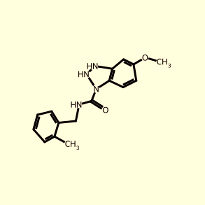 COc1ccc2c(c1)NNN2C(=O)NCc1ccccc1C